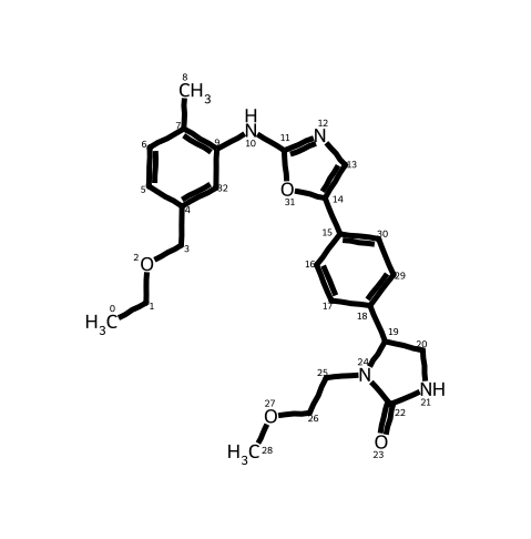 CCOCc1ccc(C)c(Nc2ncc(-c3ccc(C4CNC(=O)N4CCOC)cc3)o2)c1